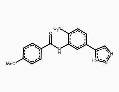 COc1ccc(C(=O)Nc2cc(-c3cnn[nH]3)ccc2[N+](=O)[O-])cc1